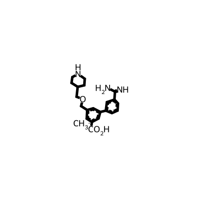 N=C(N)c1cccc(-c2cc(COCC3CCNCC3)cc(C(=O)O)c2)c1.[CH3]